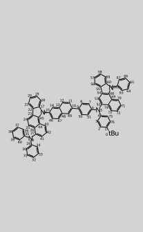 CC(C)(C)c1ccc(N(c2ccc(-c3ccc4cc(-n5c6ccccc6c6ccc7c(N(c8ccccc8)c8ccccc8)cccc7c65)ccc4c3)cc2)c2cc3c4ccccc4n(-c4ccccc4)c3c3ccccc23)cc1